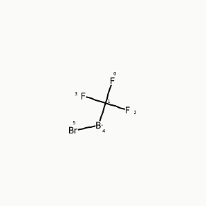 FC(F)(F)[B]Br